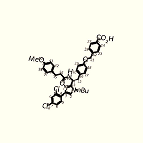 CCCCn1cc(-c2ccc(Cl)cc2Cl)nc1[C@H](Cc1ccc(OCc2ccc(C(=O)O)cc2)cc1)NC(=O)CCc1ccc(OC)cc1